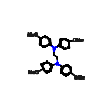 COc1ccc(N(CCN(c2ccc(OC)cc2)c2ccc(OC)cc2)c2ccc(OC)cc2)cc1